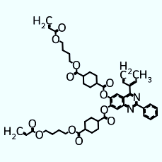 C=CC(=O)OCCCCOC(=O)C1CCC(C(=O)Oc2cc3nc(-c4ccccc4)nc(/C(C=C)=C/C)c3cc2OC(=O)C2CCC(C(=O)OCCCCOC(=O)C=C)CC2)CC1